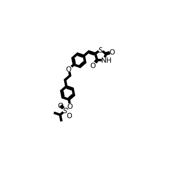 CC(C)S(=O)(=O)Oc1ccc(CCOc2ccc(C=C3SC(=O)NC3=O)cc2)cc1